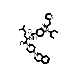 CCC(CC)n1c(Cc2cccs2)nc2cc(C(=O)NC(CCC(C)C)C(=O)N3CCC(N4CCc5ccccc5C4)CC3)ccc21